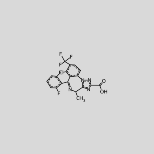 CC1N=C(c2c(F)cccc2F)c2c(ccc(C(F)(F)F)c2Cl)-n2nc(C(=O)O)nc21